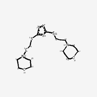 C1CN(CCSc2nnc(SCCN3CCOCC3)s2)CCO1